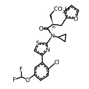 O=C(O)C[C@@H](Cc1ccco1)C(=O)N(c1nc(-c2cc(OC(F)F)ccc2Cl)cs1)C1CC1